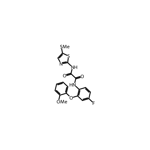 COc1ccccc1Oc1cc(F)ccc1NC(=O)C(=O)Nc1ncc(SC)s1